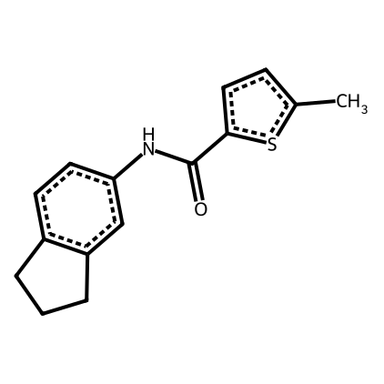 Cc1ccc(C(=O)Nc2ccc3c(c2)CCC3)s1